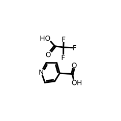 O=C(O)C(F)(F)F.O=C(O)c1ccncc1